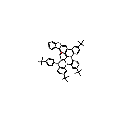 CC(C)(C)c1ccc(N2c3ccc(C(C)(C)C)cc3B3c4cc(C(C)(C)C)ccc4N(c4ccc(C(C)(C)C)cc4-c4ccc5c(c4)sc4ccccc45)c4cccc2c43)cc1